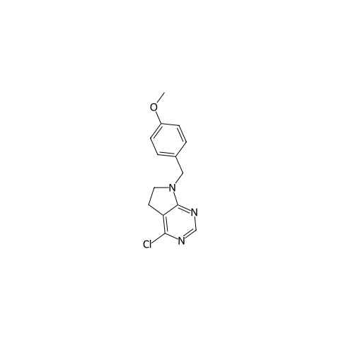 COc1ccc(CN2CCc3c(Cl)ncnc32)cc1